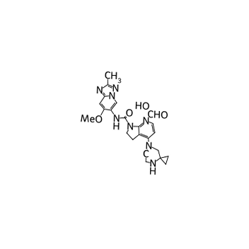 COc1cc2nc(C)nn2cc1NC(=O)N1CCc2c(N3CCNC4(CC4)C3)ccnc21.O=CO